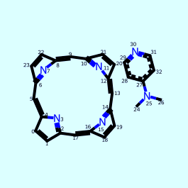 C1=CC2=NC1=CC1=NC(=CC3=NC(=CC4=NC(=C2)C=C4)C=C3)C=C1.CN(C)c1ccncc1